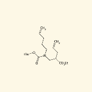 C=CCCCN(CC(CC=C)C(=O)OCC)C(=O)OC(C)(C)C